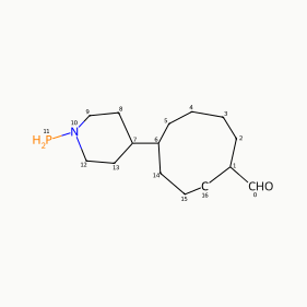 O=CC1CCCCC(C2CCN(P)CC2)CCC1